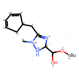 CCCCOC(O)C1N=C(CC2C=CC=CC2)N(C)N1